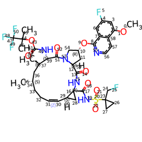 COc1cc(F)cc2c(O[C@@H]3C[C@H]4C(=O)N[C@]5(C(=O)NS(=O)(=O)C6(CF)CC6)C[C@H]5/C=C\CC[C@H](C)C[C@@H](C)[C@H](NC(=O)OC(C)(C)C(F)(F)F)C(=O)N4C3)nccc12